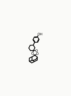 Oc1ccc(C2CCCC3(C2)OOC2(O3)C3CC4CC(C3)CC2C4)cc1